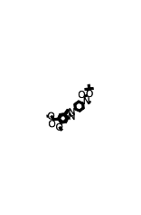 COC(=O)c1cc2cn(C3CCC(N(C)C(=O)OC(C)(C)C)CC3)nc2cc1OC